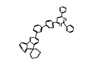 c1ccc(-c2cc(-c3ccc(-c4cccc(-c5ccc6c(c5)-c5ccccc5C65CCCCC5)c4)cc3)nc(-c3ccccc3)n2)cc1